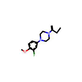 C=C(CC)N1CCN(c2ccc(OC)c(F)c2)CC1